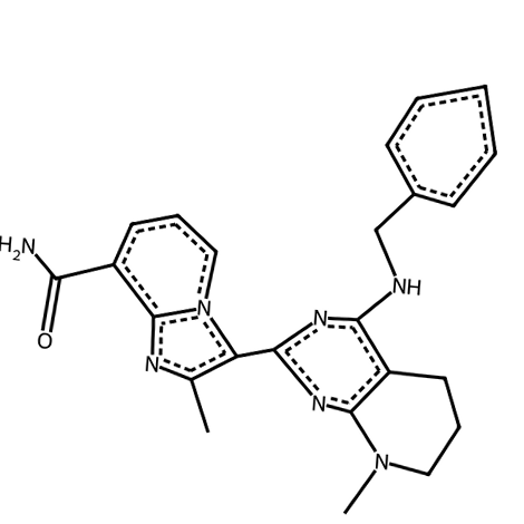 Cc1nc2c(C(N)=O)cccn2c1-c1nc(NCc2ccccc2)c2c(n1)N(C)CCC2